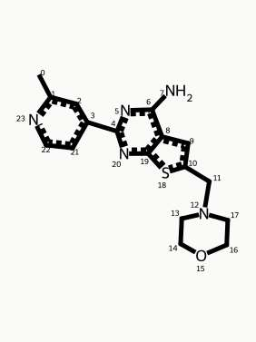 Cc1cc(-c2nc(N)c3cc(CN4CCOCC4)sc3n2)ccn1